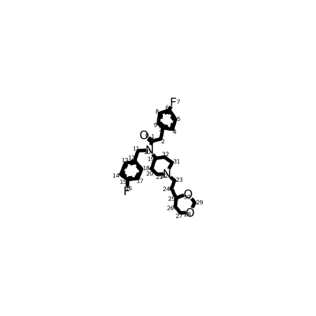 O=C(Cc1ccc(F)cc1)N(Cc1ccc(F)cc1)C1CCN(CCC2CCOCO2)CC1